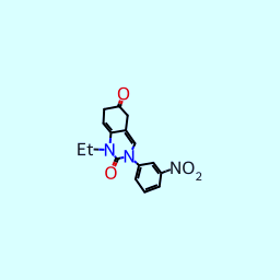 CCN1C(=O)N(c2cccc([N+](=O)[O-])c2)C=C2CC(=O)CC=C21